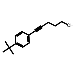 CC(C)(C)c1ccc(C#CCCCO)cc1